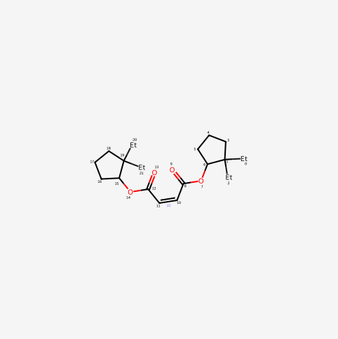 CCC1(CC)CCCC1OC(=O)/C=C\C(=O)OC1CCCC1(CC)CC